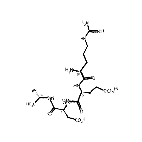 CC(C)[C@H](NC(=O)[C@H](CC(=O)O)NC(=O)[C@H](CCC(=O)O)NC(=O)[C@@H](N)CCCNC(=N)N)C(=O)O